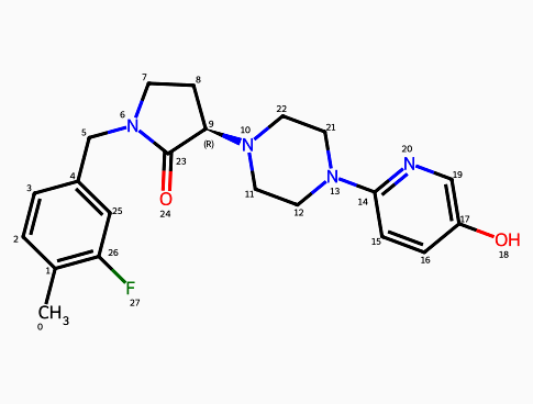 Cc1ccc(CN2CC[C@@H](N3CCN(c4ccc(O)cn4)CC3)C2=O)cc1F